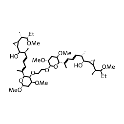 CC[C@H](OC)[C@@H](C)[C@@H]1C[C@H]1[C@H](O)[C@@H](C)/C=C/C=C(\C)[C@@H]1O[C@@H](OC)C[C@H](OC)[C@@H]1OCCO[C@@H]1O[C@@H](/C(C)=C/C=C/[C@H](C)[C@@H](O)[C@@H]2C[C@H]2[C@H](C)[C@H](CC)OC)[C@H](OC)C[C@H]1OC